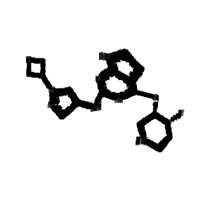 F[C@@H]1CCNC[C@@H]1Oc1nc(Nc2cnn(C3COC3)c2)nc2[nH]ccc12